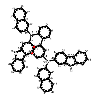 c1cc(-c2ccccc2N(c2ccc3ccccc3c2)c2ccc3c(c2)sc2ccccc23)cc(N(c2ccc3ccccc3c2)c2ccc3c(c2)sc2ccccc23)c1